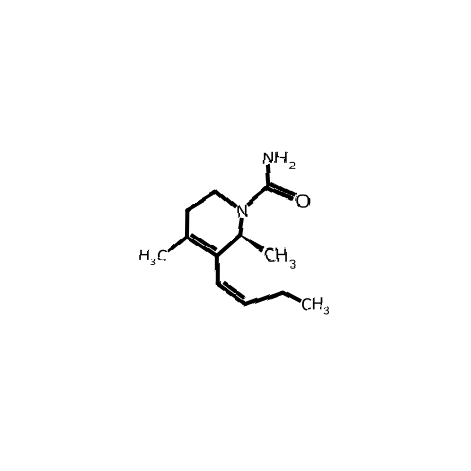 CC/C=C\C1=C(C)CCN(C(N)=O)[C@H]1C